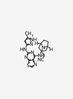 Cc1cc(Nc2nc(N[C@@H]3C[C@H]4CC[C@@H](C3)N4CCC#N)c3ncsc3n2)n[nH]1